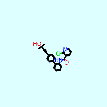 CC(C)(O)C#Cc1ccc(-c2ccccc2NC(=O)c2cccnc2Cl)cc1